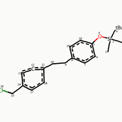 CC(C)(C)[Si](C)(C)Oc1ccc(CCc2ccc(CCl)cc2)cc1